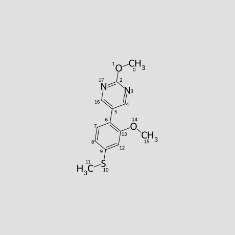 COc1ncc(-c2ccc(SC)cc2OC)cn1